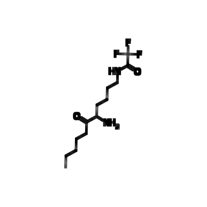 CCCCCC(=O)C(N)CCCCNC(=O)C(F)(F)F